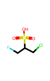 O=S(=O)(O)C(CF)CCl